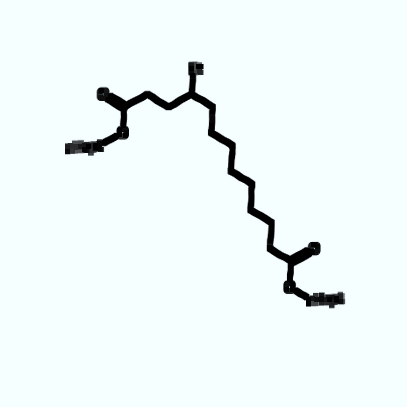 CCCCCCCOC(=O)CCCCCCCCC(CC)CCC(=O)OCCCCCCC